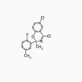 Cc1ccc(F)c(C2(C)N=C(Cl)c3cc(Cl)ccc3O2)c1